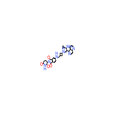 N=C(/C(=C\NC1CC(CNc2ccc3c(c2)C(=O)N(C2CCC(=O)NC2=O)C3=O)C1)c1nccc2ncccc12)C1CC1